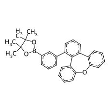 CC1(C)OB(c2cccc(-c3cccc4c3-c3ccccc3Oc3ccccc3-4)c2)OC1(C)C